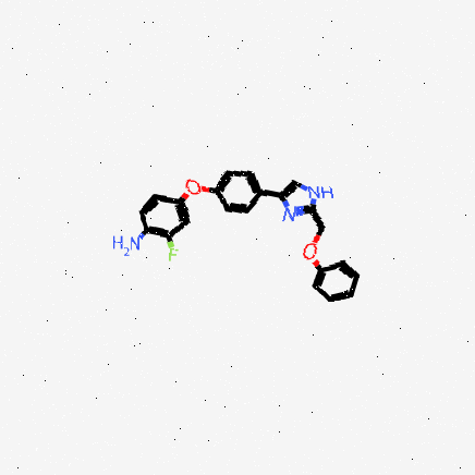 Nc1ccc(Oc2ccc(-c3c[nH]c(COc4ccccc4)n3)cc2)cc1F